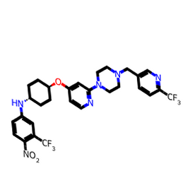 O=[N+]([O-])c1ccc(N[C@H]2CC[C@H](Oc3ccnc(N4CCN(Cc5ccc(C(F)(F)F)nc5)CC4)c3)CC2)cc1C(F)(F)F